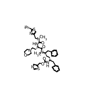 CC(C)c1nc(CN(C)C(=O)N[C@@H](CCN2CCOCC2)C(=O)N(C)[C@H](CC[C@H](Cc2ccccc2)NC(=O)OCc2cncs2)Cc2ccccc2)cs1